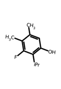 Cc1cc(O)c(C(C)C)c(F)c1C